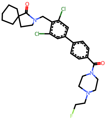 O=C(c1ccc(-c2cc(Cl)c(CN3CCC4(CCCCC4)C3=O)c(Cl)c2)cc1)N1CCN(CCF)CC1